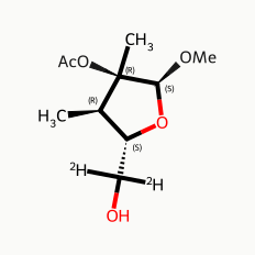 [2H]C([2H])(O)[C@H]1O[C@H](OC)[C@](C)(OC(C)=O)[C@@H]1C